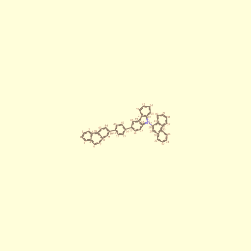 c1ccc2c(c1)ccc1cc(-c3ccc(-c4ccc5c(c4)c4ccccc4n5-c4cc5ccccc5c5ccccc45)cc3)ccc12